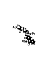 CCCOc1nc(CC)c(CNC(=O)C(CSC(C)=O)CC(C)C)n1Cc1ccc(-c2ccccc2C(=O)OC(C)(C)C)cc1F